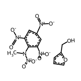 CN(c1c([N+](=O)[O-])cc([N+](=O)[O-])cc1[N+](=O)[O-])[N+](=O)[O-].OCc1ccco1